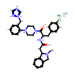 CC(C)N1Cc2ccccc2C1CC(=O)NC(Cc1ccc(Cl)cc1)C(=O)N1CCN(c2ccccc2Cn2cncn2)CC1.Cl.Cl